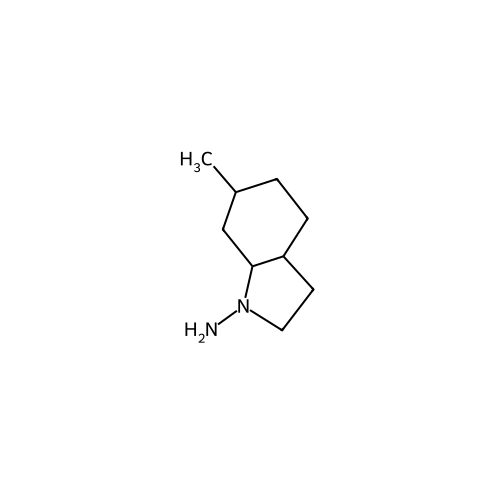 CC1CCC2CCN(N)C2C1